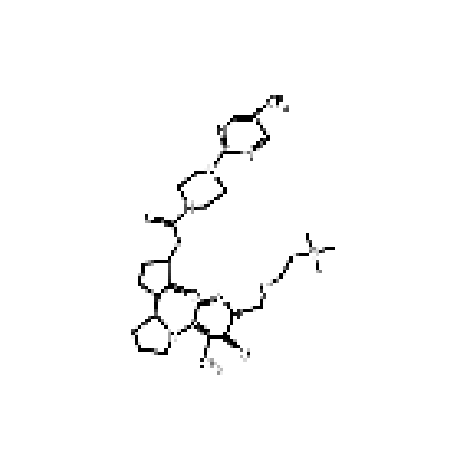 C[Si](C)(C)CCOCn1ncc(N2CCC[C@H]2C2CCC(CC(=O)N3CCN(c4ncc(C(F)(F)F)cn4)CC3)C2=O)c(C(F)(F)F)c1=O